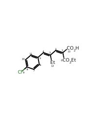 CCOC(=O)/C(=C\C(=C\c1ccc(Cl)cc1)CC)C(=O)O